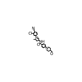 CC1CC(NC(=O)c2ccc(N3CCC(C=O)CC3)cc2)CN1c1ccc(C#N)c(Cl)c1